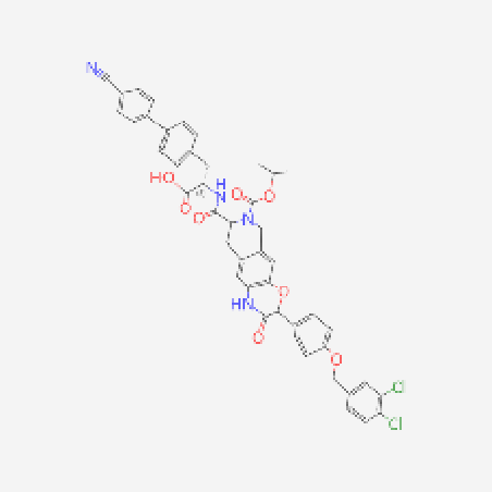 CC(C)OC(=O)N1Cc2cc3c(cc2CC1C(=O)N[C@@H](Cc1ccc(-c2ccc(C#N)cc2)cc1)C(=O)O)NC(=O)C(c1ccc(OCc2ccc(Cl)c(Cl)c2)cc1)O3